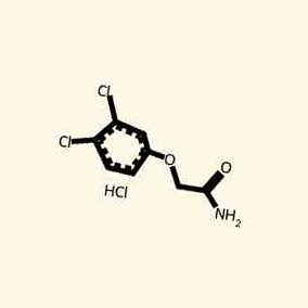 Cl.NC(=O)COc1ccc(Cl)c(Cl)c1